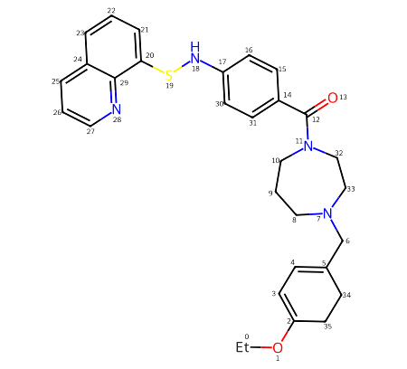 CCOC1=CC=C(CN2CCCN(C(=O)c3ccc(NSc4cccc5cccnc45)cc3)CC2)CC1